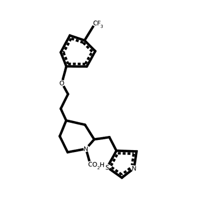 O=C(O)N1CCC(CCOc2ccc(C(F)(F)F)cc2)CC1Cc1cncs1